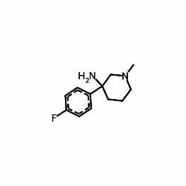 CN1CCCC(N)(c2ccc(F)cc2)C1